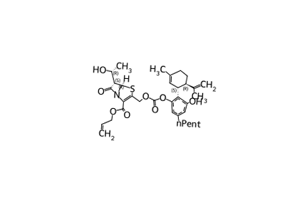 C=CCOC(=O)C1=C(COC(=O)Oc2cc(CCCCC)cc(O)c2[C@@H]2C=C(C)CC[C@H]2C(=C)C)S[C@@H]2[C@@H]([C@@H](C)O)C(=O)N12